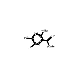 COC(=O)c1cc(F)c(Cl)nc1C(C)(C)C